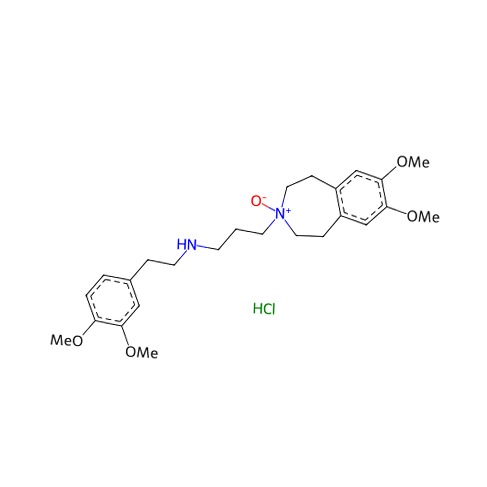 COc1ccc(CCNCCC[N+]2([O-])CCc3cc(OC)c(OC)cc3CC2)cc1OC.Cl